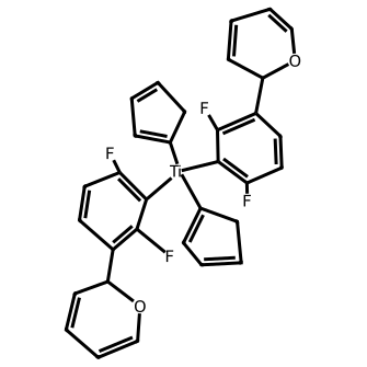 Fc1ccc(C2C=CC=CO2)c(F)[c]1[Ti]([C]1=CC=CC1)([C]1=CC=CC1)[c]1c(F)ccc(C2C=CC=CO2)c1F